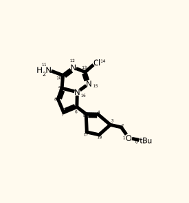 CC(C)(C)OCC1C=C(c2ccc3c(N)nc(Cl)nn23)CC1